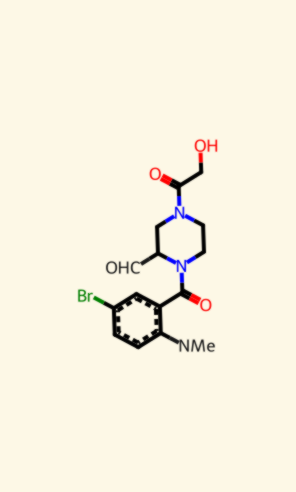 CNc1ccc(Br)cc1C(=O)N1CCN(C(=O)CO)CC1C=O